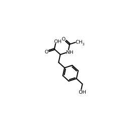 CC(=O)NC(Cc1ccc(CO)cc1)C(=O)O